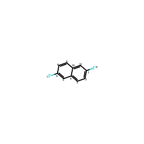 Fc1ccc2cc(F)c[c]c2c1